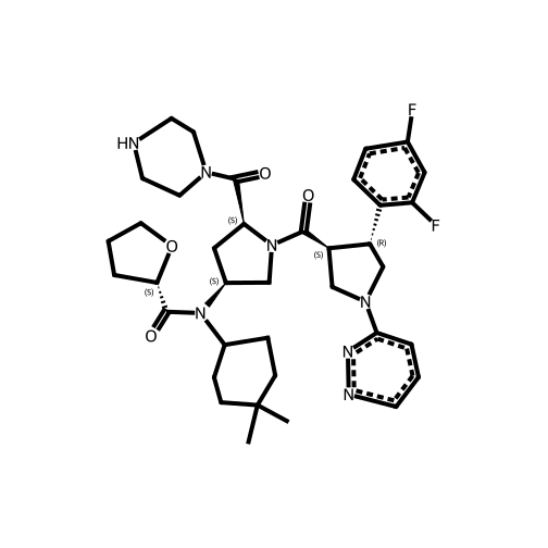 CC1(C)CCC(N(C(=O)[C@@H]2CCCO2)[C@H]2C[C@@H](C(=O)N3CCNCC3)N(C(=O)[C@@H]3CN(c4cccnn4)C[C@H]3c3ccc(F)cc3F)C2)CC1